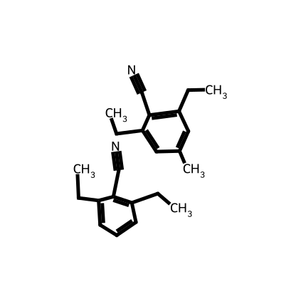 CCc1cc(C)cc(CC)c1C#N.CCc1cccc(CC)c1C#N